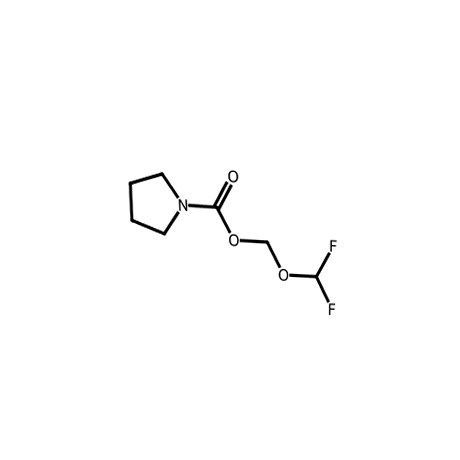 O=C(OCOC(F)F)N1CCCC1